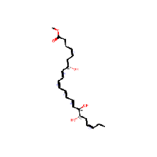 CC/C=C\C[C@H](O)[C@H](O)/C=C/C=C/C=C\C=C\[C@@H](O)C/C=C\CCC(=O)OC